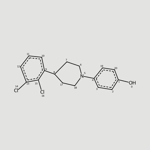 Oc1ccc(N2CCC(c3cccc(Cl)c3Cl)CC2)cc1